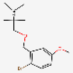 COc1ccc(Br)c(COCC(C)(C)[SiH](C)C)c1